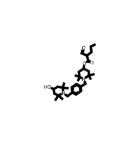 CCCC(C=O)C(=O)OC1CC(C)(C)N(Cc2ccc(CN3C(C)(C)CC(O)CC3(C)C)cc2)C(C)(C)C1